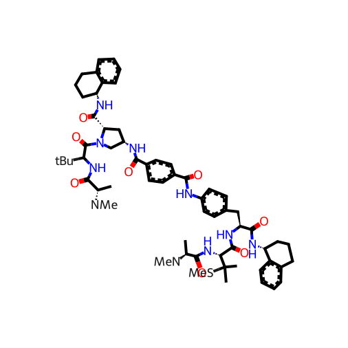 CN[C@@H](C)C(=O)NC(C(=O)N1C[C@@H](NC(=O)c2ccc(C(=O)Nc3ccc(C[C@H](NC(=O)[C@@H](NC(=O)[C@H](C)NC)C(C)(C)SC)C(=O)N[C@@H]4CCCc5ccccc54)cc3)cc2)C[C@H]1C(=O)N[C@@H]1CCCc2ccccc21)C(C)(C)C